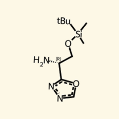 CC(C)(C)[Si](C)(C)OC[C@@H](N)c1nnco1